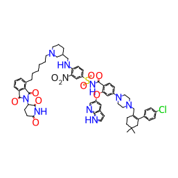 CC1(C)CCC(CN2CCN(c3ccc(C(=O)NS(=O)(=O)c4ccc(NCC5CCCN(CCCCCCc6cccc7c6C(=O)N(C6CCC(=O)NC6=O)C7=O)C5)c([N+](=O)[O-])c4)c(Oc4cnc5[nH]ccc5c4)c3)CC2)=C(c2ccc(Cl)cc2)C1